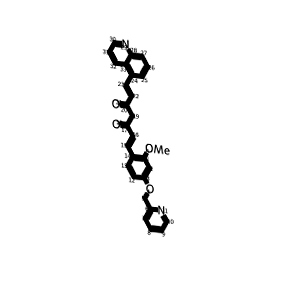 COc1cc(OCc2ccccn2)ccc1/C=C/C(=O)CC(=O)/C=C/c1cccc2ncccc12